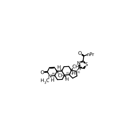 CCCC(=O)c1nc([C@H]2CC[C@H]3[C@@H]4CC[C@H]5N(C)C(=O)C=C[C@]5(C)[C@H]4CC[C@]23C)cs1